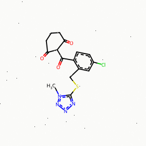 Cn1nnnc1SCc1cc(Cl)ccc1C(=O)C1C(=O)CCCC1=O